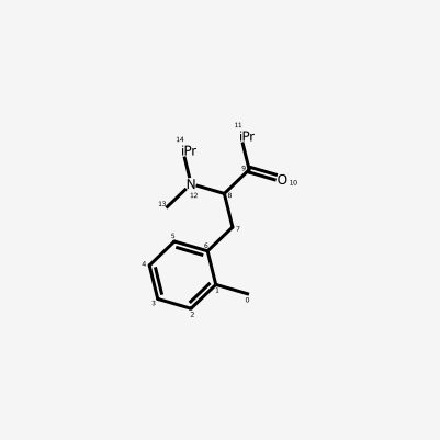 Cc1ccccc1CC(C(=O)C(C)C)N(C)C(C)C